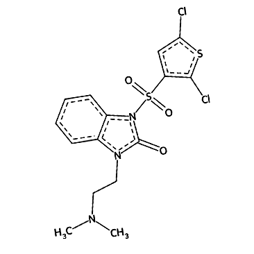 CN(C)CCn1c(=O)n(S(=O)(=O)c2cc(Cl)sc2Cl)c2ccccc21